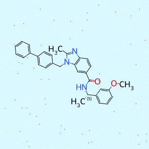 COc1cccc([C@H](C)NC(=O)c2ccc3nc(C)n(Cc4ccc(-c5ccccc5)cc4)c3c2)c1